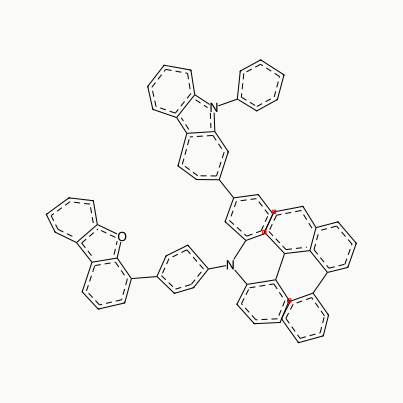 c1ccc(-c2cccc3cccc(-c4ccccc4N(c4ccc(-c5cccc6c5oc5ccccc56)cc4)c4cccc(-c5ccc6c7ccccc7n(-c7ccccc7)c6c5)c4)c23)cc1